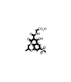 CC1Cn2c(=O)c(C(=O)NCC(=O)O)c(O)c3cc(S(C)(=O)=O)cc(c32)O1